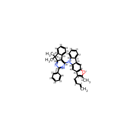 C=C/C=C\c1c(C)oc2cc3c4ccccc4n(-c4nc(-c5ccccc5)nc5c4-c4ccccc4C5(C)C)c3cc12